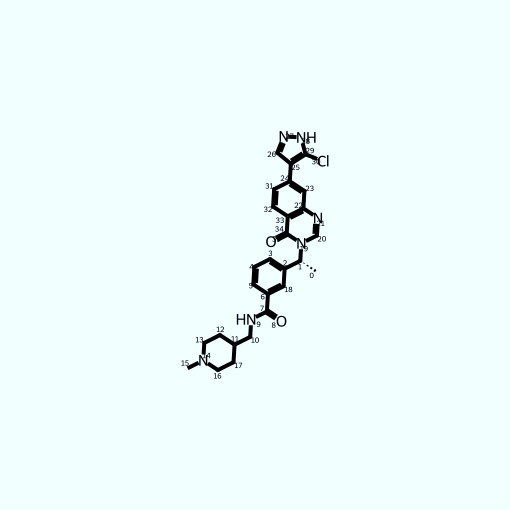 C[C@H](c1cccc(C(=O)NCC2CCN(C)CC2)c1)n1cnc2cc(-c3cn[nH]c3Cl)ccc2c1=O